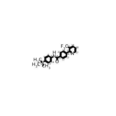 C[Si](C)(C)c1ccc(NC(=O)c2ccc(-c3ncccc3C(F)(F)F)cc2)cc1